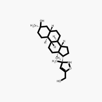 CC1([C@H]2CC[C@H]3[C@@H]4CC[C@H]5C[C@](C)(O)CC[C@@H]5[C@H]4CC[C@]23C)C=C(CO)ON1